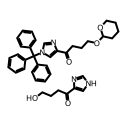 O=C(CCCO)c1c[nH]cn1.O=C(CCCOC1CCCCO1)c1cn(C(c2ccccc2)(c2ccccc2)c2ccccc2)cn1